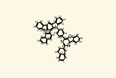 c1ccc2cc(-c3nc(-c4ccc(-n5c6ccccc6c6cc7c8ccccc8n8c9c%10ccccc%10ccc9c(c65)c78)cc4)c4oc5ccccc5c4n3)ccc2c1